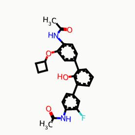 CC(=O)Nc1ccc(-c2cccc(-c3ccc(NC(C)=O)c(OC4CCC4)c3)c2O)cc1F